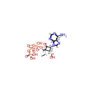 CC[C@]1(COP(=O)(O)OP(=O)(O)OP(=O)(O)O)C(=O)[C@@H](n2cnc3c(N)ncnc32)[C@@H]1CO